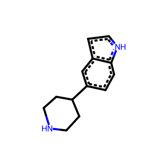 c1cc2cc(C3CCNCC3)ccc2[nH]1